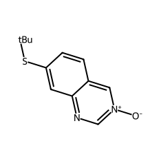 CC(C)(C)Sc1ccc2c[n+]([O-])cnc2c1